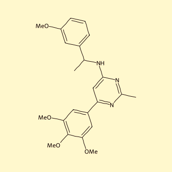 COc1cccc(C(C)Nc2cc(-c3cc(OC)c(OC)c(OC)c3)nc(C)n2)c1